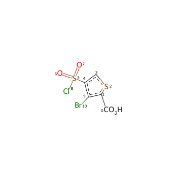 O=C(O)c1scc(S(=O)(=O)Cl)c1Br